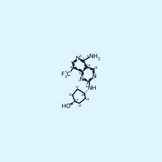 Nc1ncc(C(F)(F)F)c2nc(N[C@H]3CC[C@H](O)CC3)ncc12